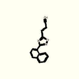 C#CCCc1nc(-c2cccc3ccccc23)no1